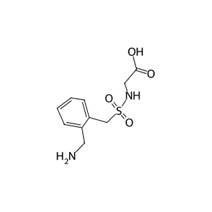 NCc1ccccc1CS(=O)(=O)NCC(=O)O